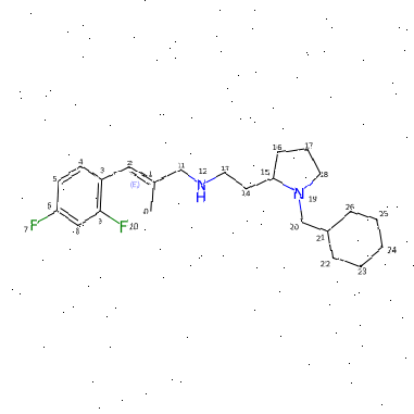 C/C(=C\c1ccc(F)cc1F)CNCCC1CCCN1CC1CCCCC1